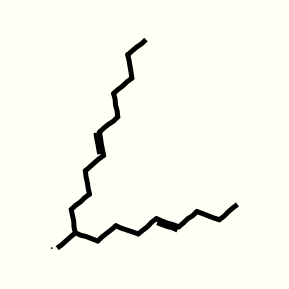 [CH2]C(CCCC=CCCC)CCCC=CCCCCC